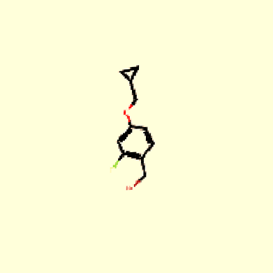 Fc1cc(OCC2CC2)ccc1CBr